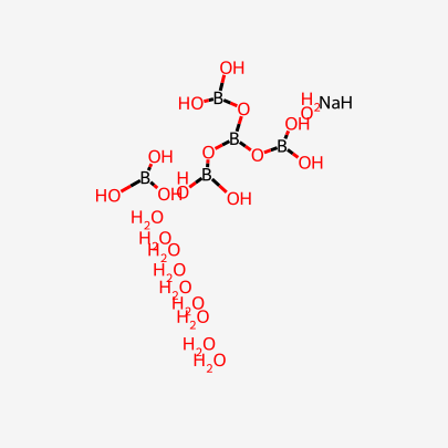 O.O.O.O.O.O.O.O.O.O.OB(O)O.OB(O)OB(OB(O)O)OB(O)O.[NaH]